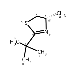 C[C@H]1CSC(C(C)(C)C)=N1